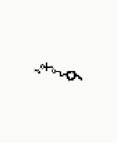 C=Cc1ccc(CCOCC(C)(C)OSI)cc1